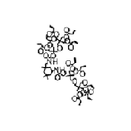 C=CC(=O)OCC(COCC(COC(=O)C=C)(COC(=O)C=C)COC(=O)NC1CC(C)(C)CC(C)(CNC(=O)OC(COCC(COC(=O)C=C)(COC(=O)C=C)COC(=O)C=C)(COC(=O)C=C)COC(=O)C=C)C1)(COC(=O)C=C)COC(=O)C=C